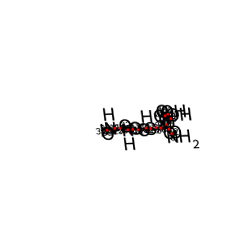 NC(=O)OCc1cc(CCCOCCOCCOCCNC(=O)CCCCCNC(=O)CI)ccc1OC1C[C@@H](O)[C@H](O)[C@@H](C(=O)O)O1